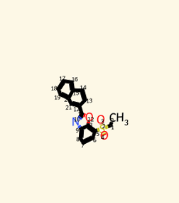 CCS(=O)(=O)c1cccc2nc(-c3ccc4ccccc4c3)oc12